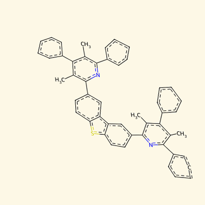 Cc1c(-c2ccccc2)nc(-c2ccc3sc4ccc(-c5nc(-c6ccccc6)c(C)c(-c6ccccc6)c5C)cc4c3c2)c(C)c1-c1ccccc1